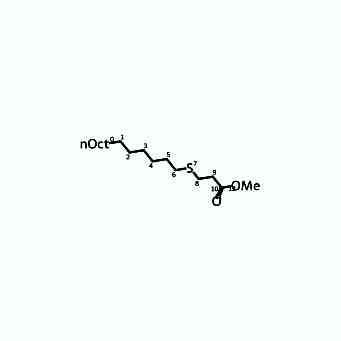 CCCCCCCCCCCCCCSCCC(=O)OC